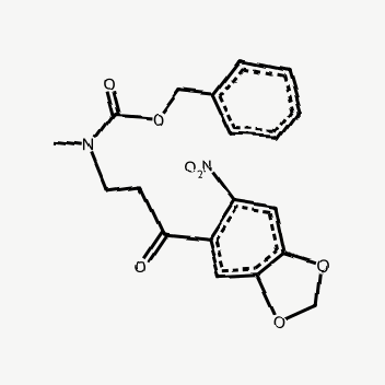 CN(CCC(=O)c1cc2c(cc1[N+](=O)[O-])OCO2)C(=O)OCc1ccccc1